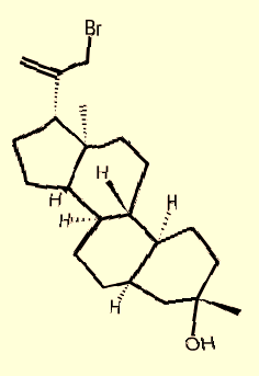 C=C(CBr)[C@H]1CC[C@H]2[C@@H]3CC[C@@H]4C[C@@](C)(O)CC[C@@H]4[C@H]3CC[C@]12C